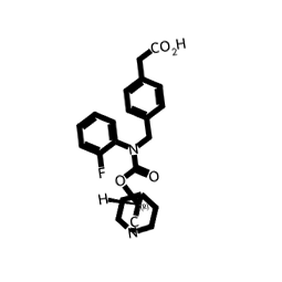 O=C(O)Cc1ccc(CN(C(=O)O[C@H]2CN3CCC2CC3)c2ccccc2F)cc1